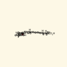 C[C@]12C=CC(=O)C=C1[C@@H](F)C[C@H]1C3C[C@H]4O[C@@H](c5ccc(Cc6cccc(NC(=O)CCOCCOCCOCCOCCNC(=O)CCNC(=O)C(S)CC(=O)O)c6)cc5)O[C@@]4(C(=O)CO)[C@@]3(C)C[C@H](O)[C@@]12F